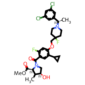 COC(=O)[C@@H]1C(C)[C@H](O)CN1C(=O)c1cc(C2CC2)c(OCC2(F)CCN([C@@H](C)c3cc(Cl)cc(Cl)c3)CC2)cc1F